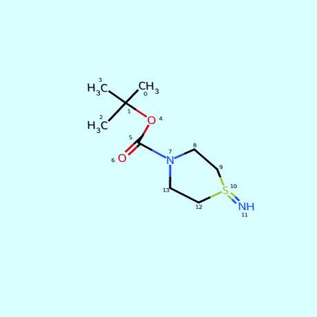 CC(C)(C)OC(=O)N1CCS(=N)CC1